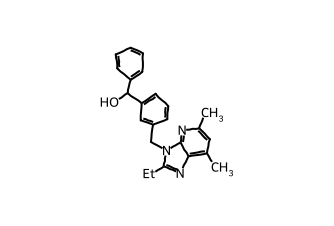 CCc1nc2c(C)cc(C)nc2n1Cc1cccc(C(O)c2ccccc2)c1